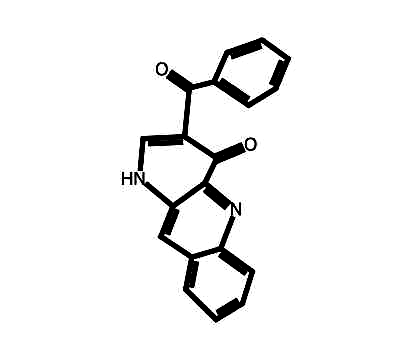 O=C(c1ccccc1)c1c[nH]c2cc3ccccc3nc2c1=O